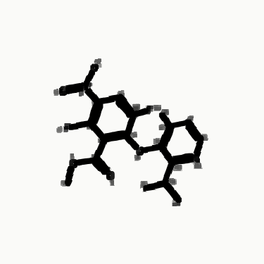 COC(=O)c1c(F)c([N+](=O)[O-])cc(F)c1Oc1c(C)ccnc1C(C)C